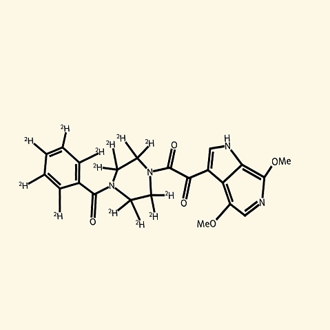 [2H]c1c([2H])c([2H])c(C(=O)N2C([2H])([2H])C([2H])([2H])N(C(=O)C(=O)c3c[nH]c4c(OC)ncc(OC)c34)C([2H])([2H])C2([2H])[2H])c([2H])c1[2H]